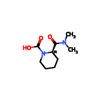 CN(C)C(=O)[C@H]1CCCCN1C(=O)O